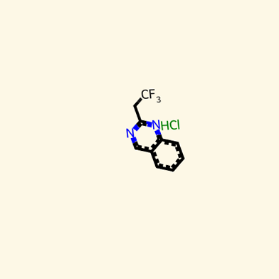 Cl.FC(F)(F)Cc1ncc2ccccc2n1